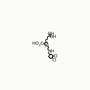 O=C(O)[C@@H]1CN(CCNCc2ccc(Cl)c(Cl)c2)C[C@@H]1CCCB(O)O